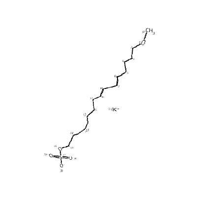 COCCCCCCCCCCCCCCOS(=O)(=O)[O-].[K+]